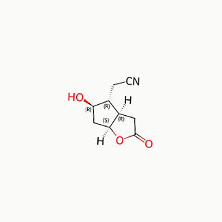 N#CC[C@@H]1[C@H]2CC(=O)O[C@H]2C[C@H]1O